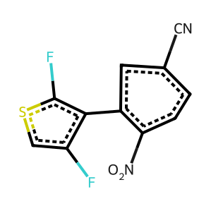 N#Cc1ccc([N+](=O)[O-])c(-c2c(F)csc2F)c1